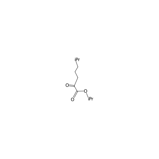 CC(C)CCCC(=O)C(=O)OC(C)C